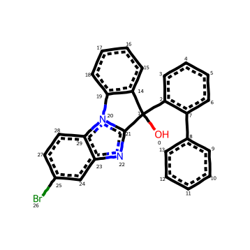 OC1(c2ccccc2-c2ccccc2)c2ccccc2-n2c1nc1cc(Br)ccc12